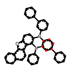 c1ccc(-c2cccc(N(c3ccccc3)c3ccc4oc5c6ccccc6ccc5c4c3N(c3ccccc3)c3cccc(-c4ccccc4)c3)c2)cc1